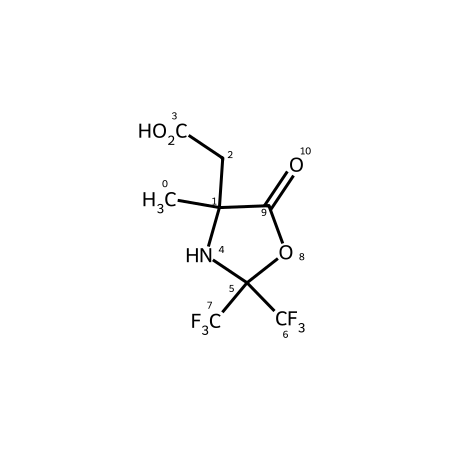 CC1(CC(=O)O)NC(C(F)(F)F)(C(F)(F)F)OC1=O